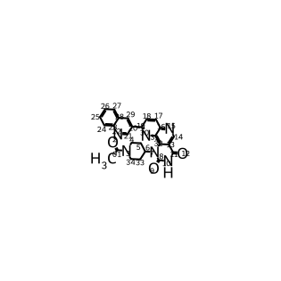 CC(=O)N1CCC(n2c(=O)[nH]c(=O)c3cnc4ccc(-c5cnc6ccccc6c5)nc4c32)CC1